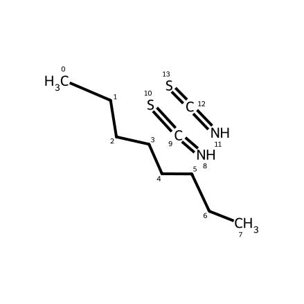 CCCCCCCC.N=C=S.N=C=S